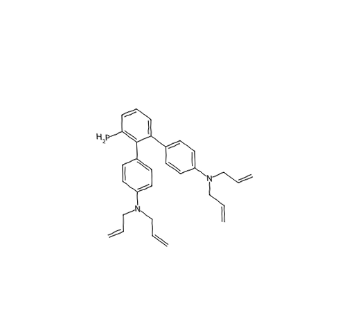 C=CCN(CC=C)c1ccc(-c2cccc(P)c2-c2ccc(N(CC=C)CC=C)cc2)cc1